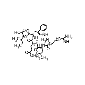 CC[C@H](C)[C@H](NC(=O)[C@H](Cc1c[nH]c2ccccc12)NC(=O)[C@H](CCC(=O)O)NC(=O)[C@H](CC(C)C)NC(=O)[C@@H](N)CCCNC(=N)N)C(=O)O